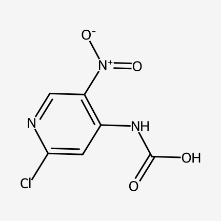 O=C(O)Nc1cc(Cl)ncc1[N+](=O)[O-]